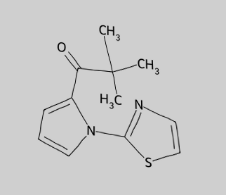 CC(C)(C)C(=O)c1cccn1-c1nccs1